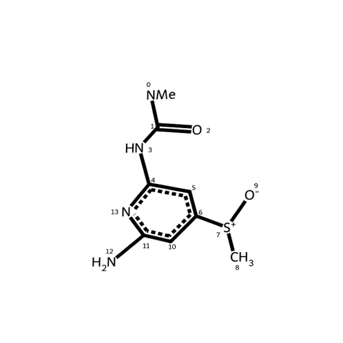 CNC(=O)Nc1cc([S+](C)[O-])cc(N)n1